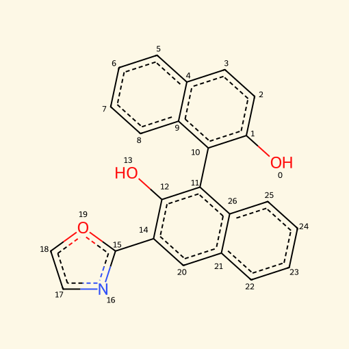 Oc1ccc2ccccc2c1-c1c(O)c(-c2ncco2)cc2ccccc12